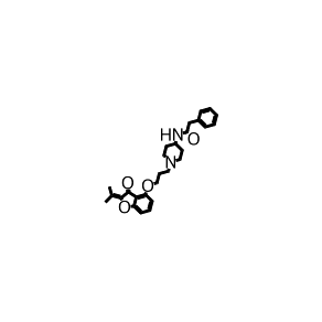 CC(C)=C1Oc2cccc(OCCCN3CCC(NC(=O)Cc4ccccc4)CC3)c2C1=O